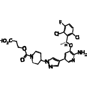 C[C@@H](Oc1cc(-c2cnn(C3CCN(C(=O)OCCC(=O)O)CC3)c2)cnc1N)c1c(Cl)ccc(F)c1Cl